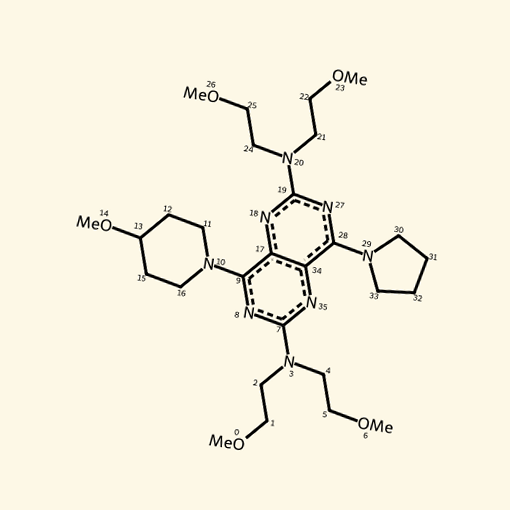 COCCN(CCOC)c1nc(N2CCC(OC)CC2)c2nc(N(CCOC)CCOC)nc(N3CCCC3)c2n1